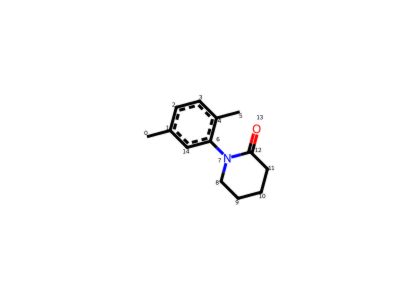 Cc1ccc(C)c(N2CCCCC2=O)c1